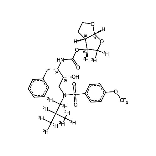 [2H]C([2H])([2H])C([2H])(C([2H])([2H])[2H])C([2H])([2H])N(C[C@@H](O)[C@H](Cc1ccccc1)NC(=O)O[C@]1([2H])[C@@H]2CCO[C@@H]2OC1([2H])[2H])S(=O)(=O)c1ccc(OC(F)(F)F)cc1